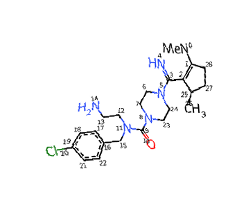 CNC1=C(C(=N)N2CCN(C(=O)N(CCN)Cc3ccc(Cl)cc3)CC2)[C@H](C)CC1